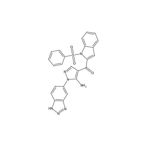 Nc1c(C(=O)c2cc3ccccc3n2S(=O)(=O)c2ccccc2)cnn1-c1ccc2[nH]nnc2c1